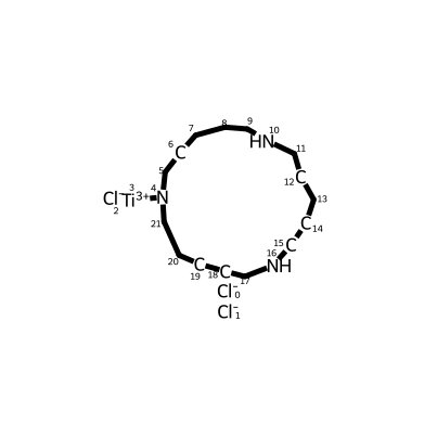 [Cl-].[Cl-].[Cl-].[Ti+3][N]1CCCCCNCCCCCNCCCCC1